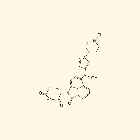 O=C1CCC(N2C(=O)c3cccc4c(C(O)c5cnn(C6CCN(Cl)CC6)c5)ccc2c34)C(=O)N1